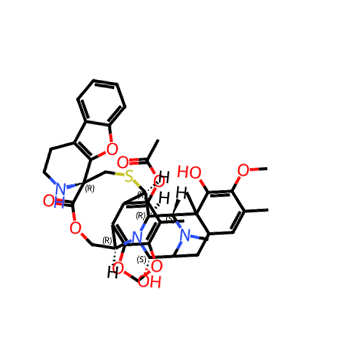 COC1=C(O)C2(C)C(C=C1C)CC1[C@H](O)N3[C@@H]([C@@H]4SC[C@]5(NCCc6c5oc5ccccc65)C(=O)OC[C@H]3c3c5c(c(C)c(OC(C)=O)c34)OCO5)[C@H]2N1C